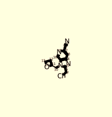 N#Cc1cc2nc(CCl)n(C[C@@H]3CCO3)c2cn1